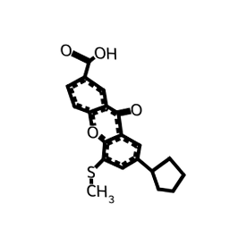 CSc1cc(C2CCCC2)cc2c(=O)c3cc(C(=O)O)ccc3oc12